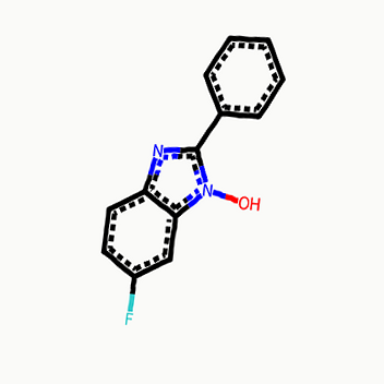 On1c(-c2ccccc2)nc2ccc(F)cc21